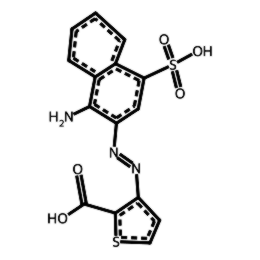 Nc1c(/N=N/c2ccsc2C(=O)O)cc(S(=O)(=O)O)c2ccccc12